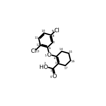 O=C(O)C1=C(Oc2cc(Cl)ccc2Cl)CCCC1